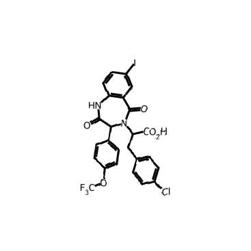 O=C(O)C(Cc1ccc(Cl)cc1)N1C(=O)c2cc(I)ccc2NC(=O)C1c1ccc(OC(F)(F)F)cc1